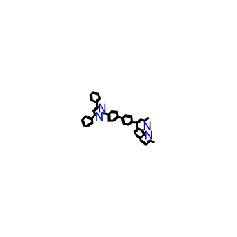 Cc1ccc2ccc3c(-c4ccc(-c5ccc(-c6nc(-c7ccccc7)cc(-c7ccccc7)n6)cc5)cc4)cc(C)nc3c2n1